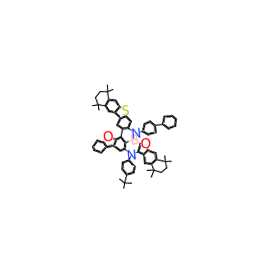 CC(C)(C)c1ccc(N2c3cc4c(oc5ccccc54)c4c3B(c3oc5cc6c(cc5c32)C(C)(C)CCC6(C)C)N(c2ccc(-c3ccccc3)cc2)c2cc3sc5cc6c(cc5c3cc2-4)C(C)(C)CCC6(C)C)cc1